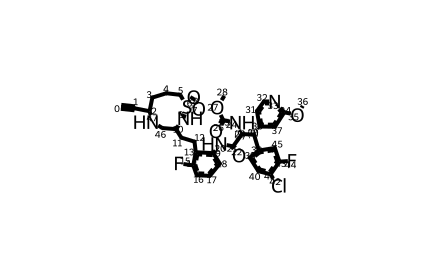 C#CC1CCCS(=O)(=O)NC(CCc2c(F)cccc2NC(=O)[C@@H](NC(=O)OC)[C@H](c2ccnc(OC)c2)c2ccc(Cl)c(F)c2)CN1